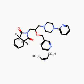 O=C(O)/C=C\C(=O)O.O=C1[C@H]2CC=CC[C@H]2C(=O)N1CC(CN1CCN(c2ccccn2)CC1)OCc1cccnc1